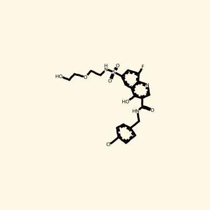 O=C(NCc1ccc(Cl)cc1)c1cnc2c(F)cc(S(=O)(=O)NCCOCCO)cc2c1O